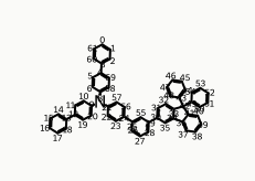 c1ccc(-c2ccc(N(c3ccc(-c4ccccc4)cc3)c3ccc(-c4cccc(-c5ccc6c(c5)-c5ccccc5C6(c5ccccc5)c5ccccc5)c4)cc3)cc2)cc1